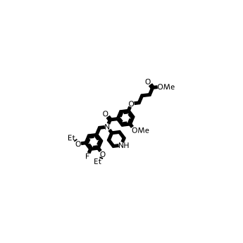 CCOc1cc(CN(C(=O)c2cc(OC)cc(OCCCC(=O)OC)c2)C2CCNCC2)cc(OCC)c1F